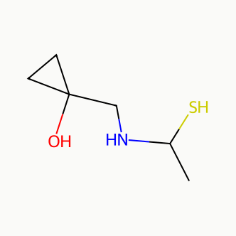 CC(S)NCC1(O)CC1